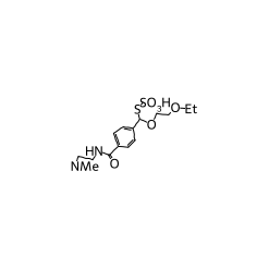 CCOCCOC(SS(=O)(=O)O)c1ccc(C(=O)NCCNC)cc1